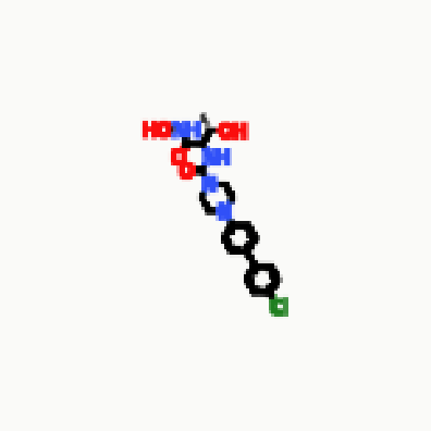 C[C@H](O)[C@@H](NC(=O)N1CCN(c2ccc(-c3ccc(Cl)cc3)cc2)CC1)C(=O)NO